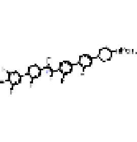 CCCCCC1CCC(c2ccc(-c3ccc(/C(F)=C(\F)c4ccc(-c5cc(F)c(F)c(F)c5)c(F)c4)c(F)c3)c(F)c2)CC1